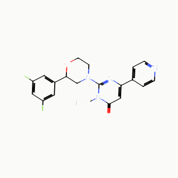 Cn1c(N2CCOC(c3cc(F)cc(F)c3)C2)nc(-c2ccncc2)cc1=O